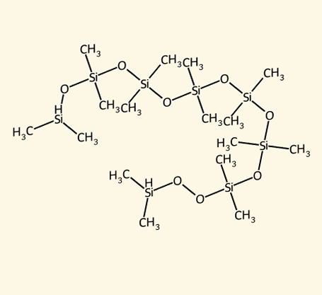 C[SiH](C)OO[Si](C)(C)O[Si](C)(C)O[Si](C)(C)O[Si](C)(C)O[Si](C)(C)O[Si](C)(C)O[SiH](C)C